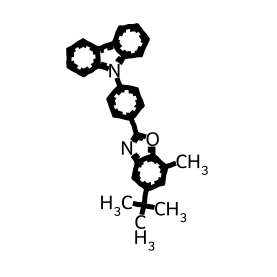 Cc1cc(C(C)(C)C)cc2nc(-c3ccc(-n4c5ccccc5c5ccccc54)cc3)oc12